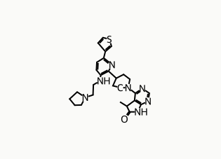 CC1C(=O)Nc2ncnc(N3CCC(c4nc(-c5ccsc5)ccc4NCCN4CCCC4)CC3)c21